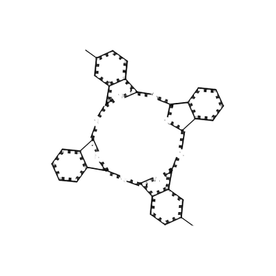 Fc1ccc2c3nc4nc(nc5[nH]c(nc6nc(nc([nH]3)c2c1)-c1ccccc1-6)c1ccc(F)cc51)-c1ccccc1-4